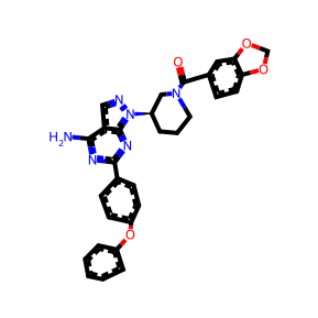 Nc1nc(-c2ccc(Oc3ccccc3)cc2)nc2c1cnn2[C@@H]1CCCN(C(=O)c2ccc3c(c2)OCO3)C1